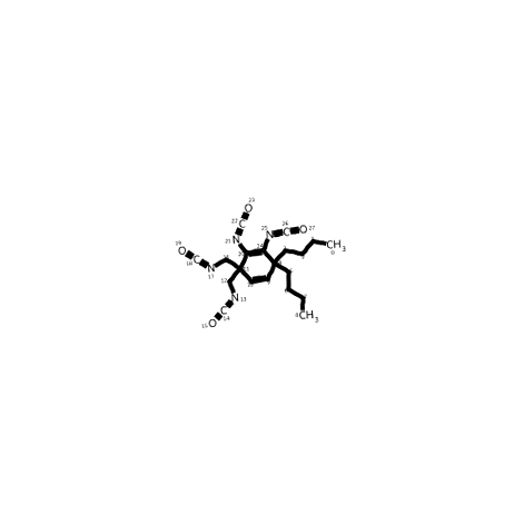 CCCCC1(CCCC)C=CC(CN=C=O)(CN=C=O)C(N=C=O)=C1N=C=O